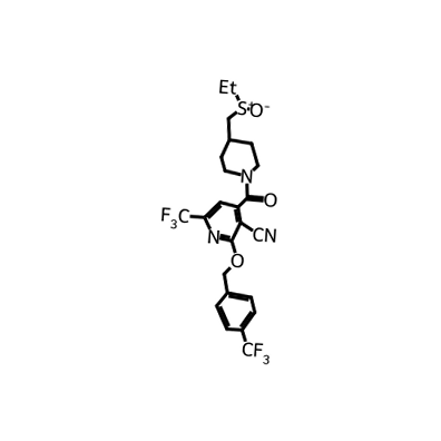 CC[S+]([O-])CC1CCN(C(=O)c2cc(C(F)(F)F)nc(OCc3ccc(C(F)(F)F)cc3)c2C#N)CC1